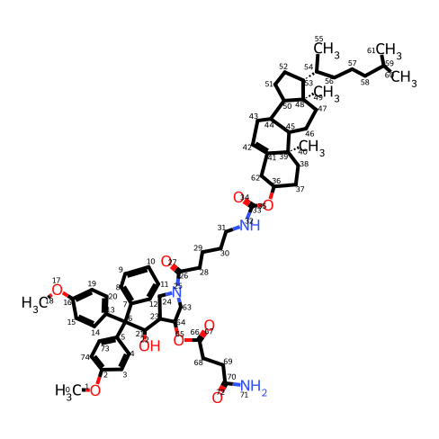 COc1ccc(C(c2ccccc2)(c2ccc(OC)cc2)C(O)C2CN(C(=O)CCCCNC(=O)OC3CC[C@@]4(C)C(=CCC5C4CC[C@@]4(C)C5CC[C@@H]4C(C)CCCC(C)C)C3)CC2OC(=O)CCC(N)=O)cc1